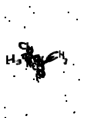 CCc1nc2ccc(C(c3ccc(Cl)cc3)c3cncn3C)cc2c(Cl)c1Cc1ccc(F)cc1